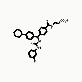 O=C(O)CCNC(=O)c1ccc(C(NC(=O)Nc2cccc(F)c2)c2ccc(C3CCCCC3)cc2)cc1